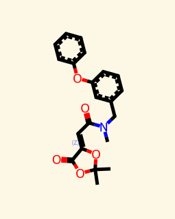 CN(Cc1cccc(Oc2ccccc2)c1)C(=O)/C=C1\OC(C)(C)OC1=O